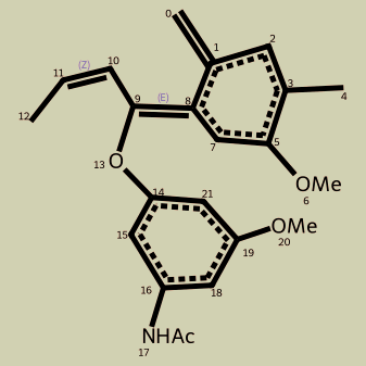 C=c1cc(C)c(OC)c/c1=C(/C=C\C)Oc1cc(NC(C)=O)cc(OC)c1